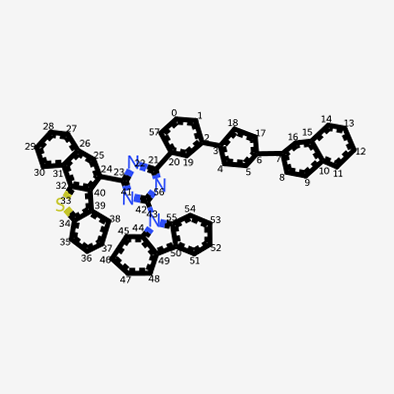 c1cc(-c2ccc(-c3ccc4ccccc4c3)cc2)cc(-c2nc(-c3cc4ccccc4c4sc5ccccc5c34)nc(-n3c4ccccc4c4ccccc43)n2)c1